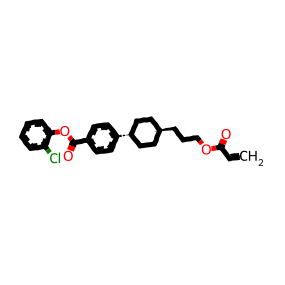 C=CC(=O)OCCC[C@H]1CC[C@H](c2ccc(C(=O)Oc3ccccc3Cl)cc2)CC1